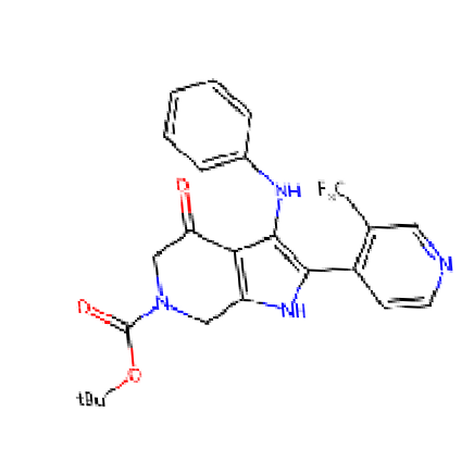 CC(C)(C)OC(=O)N1CC(=O)c2c([nH]c(-c3ccncc3C(F)(F)F)c2Nc2ccccc2)C1